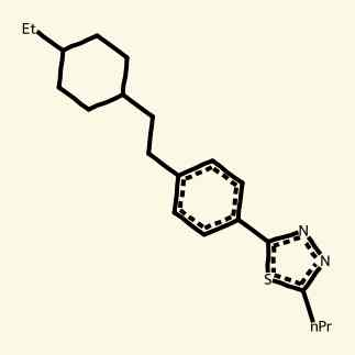 CCCc1nnc(-c2ccc(CCC3CCC(CC)CC3)cc2)s1